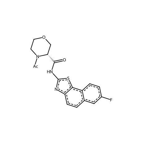 CC(=O)N1CCOC[C@@H]1C(=O)Nc1nc2ccc3cc(F)ccc3c2s1